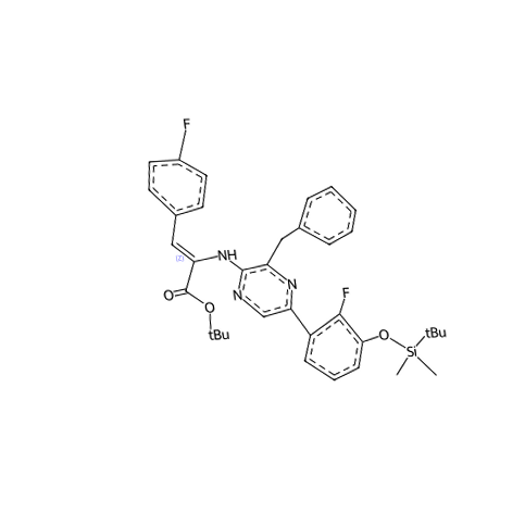 CC(C)(C)OC(=O)/C(=C/c1ccc(F)cc1)Nc1ncc(-c2cccc(O[Si](C)(C)C(C)(C)C)c2F)nc1Cc1ccccc1